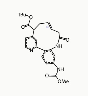 COC(=O)Nc1ccc2c(c1)NC(=O)C/C=C/CC(C(=O)OC(C)(C)C)c1ccnc-2c1